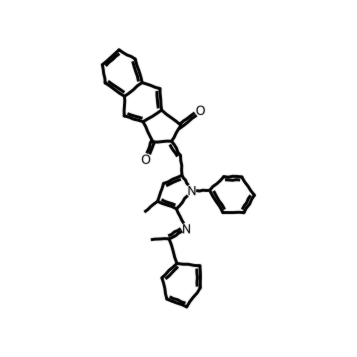 C/C(=N\c1c(C)cc(C=C2C(=O)c3cc4ccccc4cc3C2=O)n1-c1ccccc1)c1ccccc1